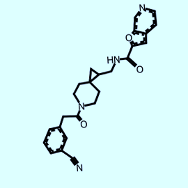 N#Cc1cccc(CC(=O)N2CCC3(CC2)CC3CNC(=O)c2cc3ccncc3o2)c1